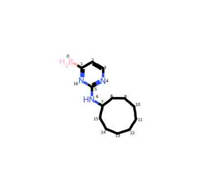 Bc1ccnc(NC2CCCCCCCC2)n1